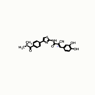 CN(C)C(=O)c1ccc(-c2csc(NC(=O)/C(C#N)=C/c3ccc(O)c(O)c3)n2)cc1